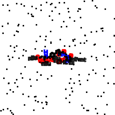 CCCCC[C@@H](C(=O)NCNC(=O)c1ccc(-c2ccc(C(=O)N[C@@H](CC(=O)OCCCC)C(=O)OCCCC)c(OCC)c2)o1)[C@@H](CC)N(C=O)OCOC(=O)C(C)(C)C